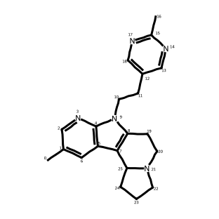 Cc1cnc2c(c1)c1c(n2CCc2cnc(C)nc2)CCN2CCCC12